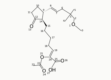 COCC(C)(C)C/C=C/[C@H]1CCC(=O)[C@@H]1CCCC/C=C(\OC(C)=O)C(=O)O